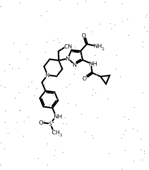 C[S+]([O-])Nc1ccc(CN2CCC(CC#N)(n3cc(C(N)=O)c(NC(=O)C4CC4)n3)CC2)cc1